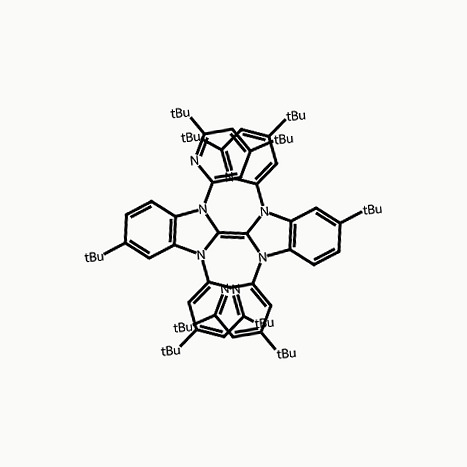 CC(C)(C)c1cc(N2/C(=C3/N(c4cc(C(C)(C)C)cc(C(C)(C)C)n4)c4ccc(C(C)(C)C)cc4N3c3cc(C(C)(C)C)cc(C(C)(C)C)n3)N(c3cc(C(C)(C)C)cc(C(C)(C)C)n3)c3cc(C(C)(C)C)ccc32)nc(C(C)(C)C)c1